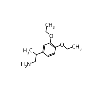 CCOc1ccc(C(C)CN)cc1OCC